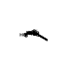 CCCCCCCCCCCCOC(=O)c1ccc(N=Nc2ccc(N(C)CCC(=O)O)cc2)c([N+](=O)[O-])c1